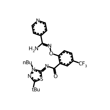 CCCCn1nc(C(C)(C)C)s/c1=N\C(=O)c1cc(C(F)(F)F)ccc1O/N=C(\N)c1ccncc1